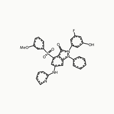 COc1cccc(S(=O)(=O)c2cc(Nc3ccccn3)cc3c2c(=O)n(-c2cc(O)cc(F)c2)n3-c2ccccc2)c1